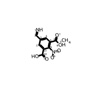 C.N=Cc1cc(C(=O)O)c([N+](=O)[O-])c(C(=O)O)c1